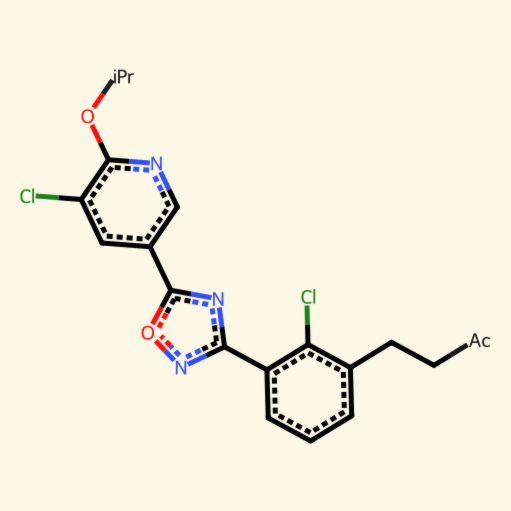 CC(=O)CCc1cccc(-c2noc(-c3cnc(OC(C)C)c(Cl)c3)n2)c1Cl